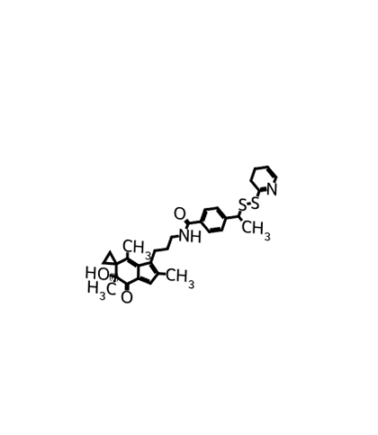 CC1=C(CCCNC(=O)c2ccc(C(C)SSC3=NC=CCC3)cc2)C2=C(C)C3(CC3)[C@@](C)(O)C(=O)C2=C1